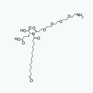 NCCOCCOCCOCCOCCC(=O)N(C(=O)CCCCCCCCCCCC[C]=O)[C@@H](CCC(=O)O)C(=O)O